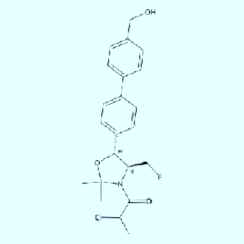 CC(Cl)C(=O)N1[C@H](CF)[C@@H](c2ccc(-c3ccc(CO)cc3)cc2)OC1(C)C